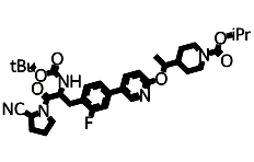 CC(C)OC(=O)N1CCC(C(C)Oc2ccc(-c3ccc(CC(NC(=O)OC(C)(C)C)C(=O)N4CCCC4C#N)c(F)c3)cn2)CC1